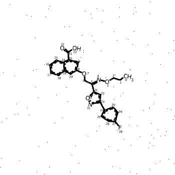 CCCON=C(COc1cc(C(=O)O)c2ccccc2c1)c1cc(-c2ccc(F)cc2)no1